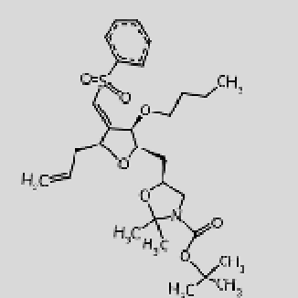 C=CC[C@@H]1O[C@H](C[C@H]2CN(C(=O)OC(C)(C)C)C(C)(C)O2)[C@H](OCCCC)C1=CS(=O)(=O)c1ccccc1